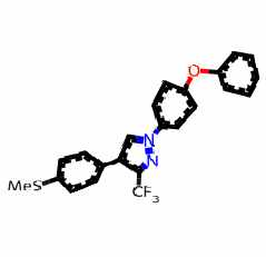 CSc1ccc(-c2cn(-c3ccc(Oc4ccccc4)cc3)nc2C(F)(F)F)cc1